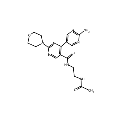 CC(=O)NCCNC(=O)c1cnc(N2CCOCC2)nc1-c1cnc(N)nc1